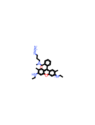 CC/N=c1/cc2oc3cc(NCC)c(C)cc3c(-c3ccccc3C(=O)N(C)CCCN=[N+]=[N-])c-2cc1C